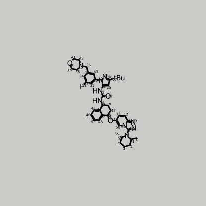 CC1CCC[C@H](C)N1c1nnc2ccc(O[C@@H]3CC[C@H](NC(=O)Nc4cc(C(C)(C)C)nn4-c4cc(F)cc(CN5CCOCC5)c4)c4ccccc43)cn12